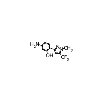 Cn1nc(-c2ccc(N)cc2O)cc1C(F)(F)F